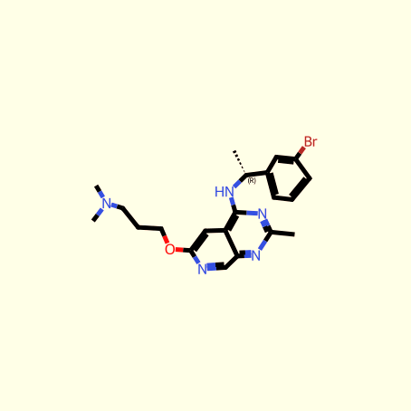 Cc1nc(N[C@H](C)c2cccc(Br)c2)c2cc(OCCCN(C)C)ncc2n1